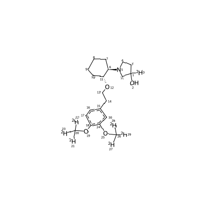 [2H]C1(O)CCN([C@@H]2CCCC[C@H]2OCCc2ccc(OC([2H])([2H])[2H])c(OC([2H])([2H])[2H])c2)C1